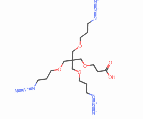 [N-]=[N+]=NCCCOCC(COCCCN=[N+]=[N-])(COCCCN=[N+]=[N-])COCCC(=O)O